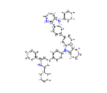 c1ccc(-c2cc(-c3ccc(-n4c5ccccc5c5ccc(-c6ccc7c8ncccc8n(-c8ccccc8)c7c6)cc54)cc3)cc(-c3ccccc3)n2)cc1